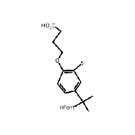 CCCCCC(C)(C)c1ccc(OCCCC(=O)O)c([S])c1